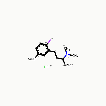 CCCCCC(CCc1cc(OC)ccc1I)N(C)C.Cl